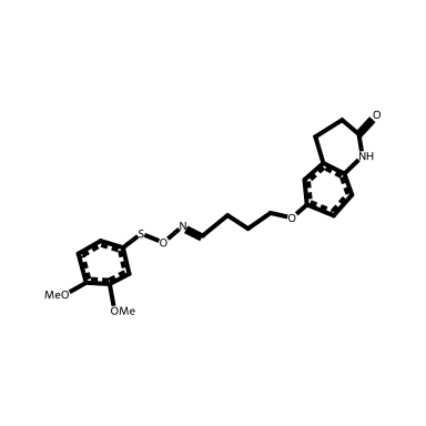 COc1ccc(SON=CCCCOc2ccc3c(c2)CCC(=O)N3)cc1OC